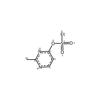 CCS(=O)(=O)Oc1ccnc(C)n1